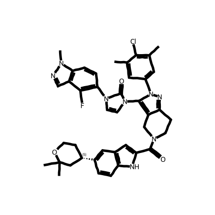 Cc1cc(-n2nc3c(c2-n2ccn(-c4ccc5c(cnn5C)c4F)c2=O)CN(C(=O)c2cc4cc([C@H]5CCOC(C)(C)C5)ccc4[nH]2)CC3)cc(C)c1Cl